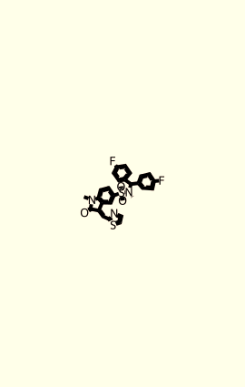 CN1C(=O)/C(=C/c2nccs2)c2cc(S(=O)(=O)N(C)C(c3ccc(F)cc3)c3ccc(F)cc3)ccc21